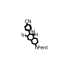 [2H]C1CC2CC(CCCCC)CCC2C([2H])([2H])C1c1ccc(C#N)cc1